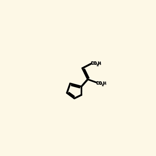 O=C(O)C=C(C(=O)O)C1=CC=CC1